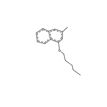 CCCCCOc1cc(C)cc2ccccc12